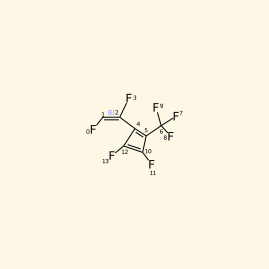 F/C=C(/F)C1=C(C(F)(F)F)C(F)=C1F